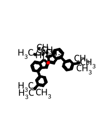 CC[Si](C)=[Hf]([CH3])([CH3])([CH]1C=Cc2c(-c3cccc(C(C)(C)C)c3)cccc21)[CH]1C=Cc2c(-c3cccc(C(C)(C)C)c3)cccc21